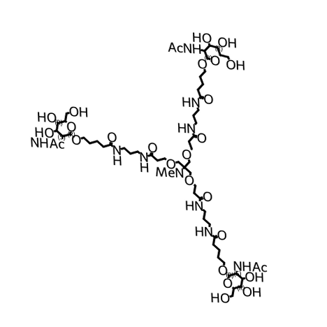 CNC(COCCC(=O)NCCCNC(=O)CCCCO[C@@H]1OC(CO)[C@H](O)C(O)C1NC(C)=O)(COCCC(=O)NCCCNC(=O)CCCCO[C@@H]1OC(CO)[C@H](O)C(O)[C@@H]1NC(C)=O)COCCC(=O)NCCCNC(=O)CCCCO[C@@H]1OC(CO)[C@H](O)C(O)[C@@H]1NC(C)=O